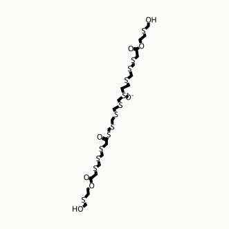 O=C(CSCSCSCC[S+]([O-])CSCSCSCSC(=O)CSCSCSCC(=O)OCCSCO)OCCSCO